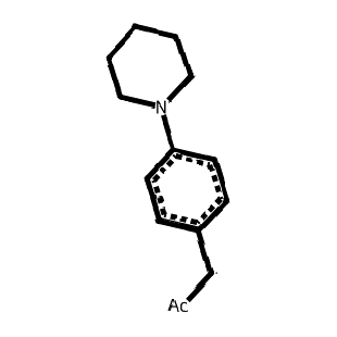 CC(=O)[CH]c1ccc(N2CCCCC2)cc1